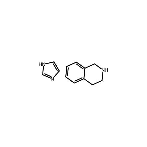 c1c[nH]cn1.c1ccc2c(c1)CCNC2